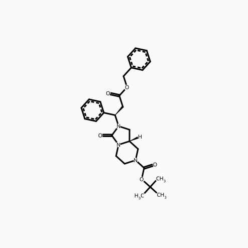 CC(C)(C)OC(=O)N1CCN2C(=O)N([C@H](CC(=O)OCc3ccccc3)c3ccccc3)C[C@@H]2C1